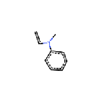 C=CN(C)c1ccccc1